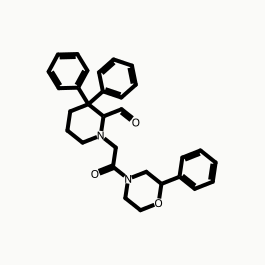 O=CC1N(CC(=O)N2CCOC(c3ccccc3)C2)CCCC1(c1ccccc1)c1ccccc1